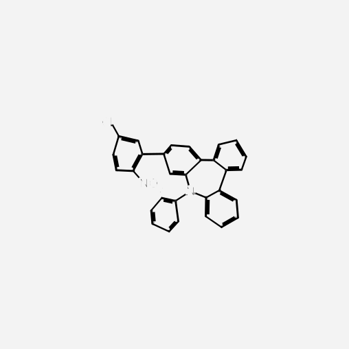 O=[N+]([O-])c1ccc(Cl)cc1-c1ccc2c(c1)N(c1ccccc1)c1ccccc1-c1ccccc1-2